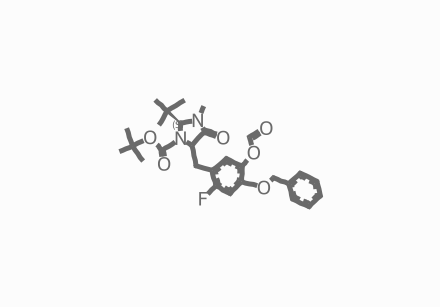 CN1C(=O)C(Cc2cc(OC=O)c(OCc3ccccc3)cc2F)N(C(=O)OC(C)(C)C)[C@H]1C(C)(C)C